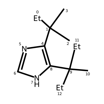 CCC(C)(C)c1nc[nH]c1C(C)(CC)CC